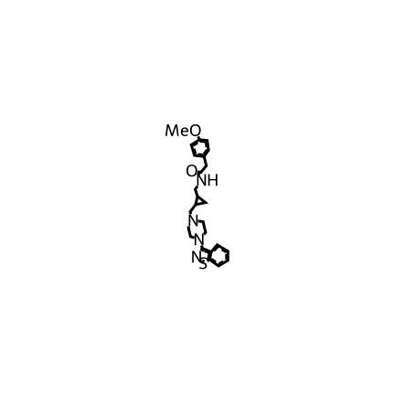 COc1ccc(CC(=O)NCC2CC2CN2CCN(c3nsc4ccccc34)CC2)cc1